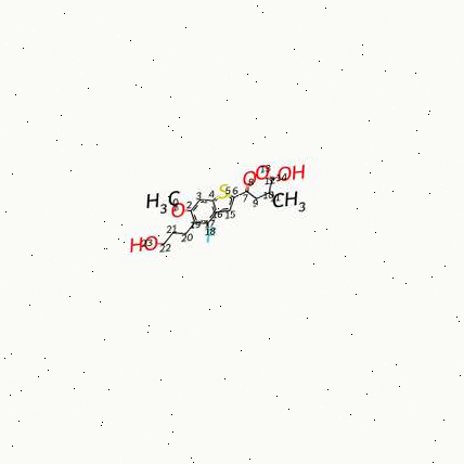 COc1cc2sc(C(=O)CC(C)C(=O)O)cc2c(F)c1CCCO